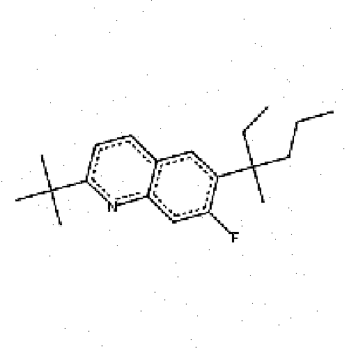 CCCC(C)(CC)c1cc2ccc(C(C)(C)C)nc2cc1F